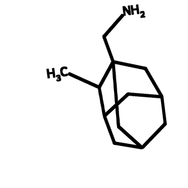 CC1C2CC3CC(C2)CC1(CN)C3